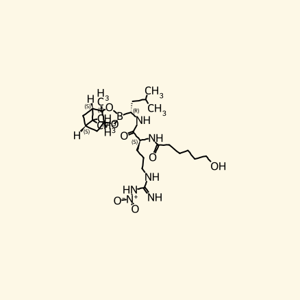 CC(C)C[C@H](NC(=O)[C@H](CCCNC(=N)N[N+](=O)[O-])NC(=O)CCCCCO)B1O[C@@H]2C[C@@H]3C[C@@H](C3(C)C)[C@]2(C)O1